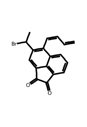 C=C/C=C\c1c(C(C)Br)cc2c3c(cccc13)C(=O)C2=O